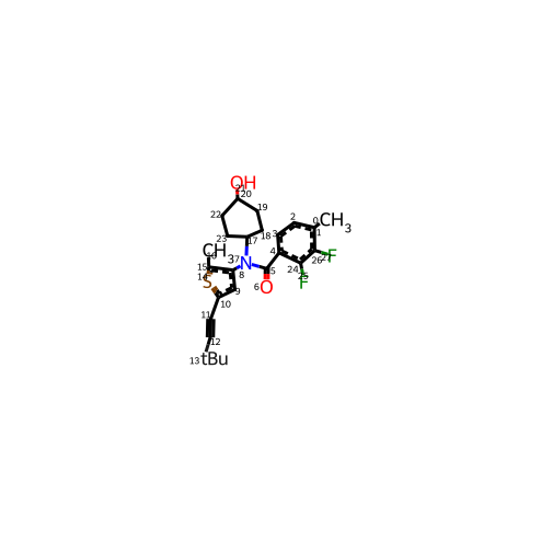 Cc1ccc(C(=O)N(c2cc(C#CC(C)(C)C)sc2C)C2CCC(O)CC2)c(F)c1F